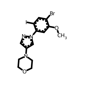 COc1cc(-n2cc(N3CCOCC3)cn2)c(I)cc1Br